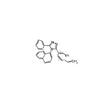 C=CC/C=C\C(=C/CC)c1nnc(-c2ccccc2)n1-c1cccc2ccccc12